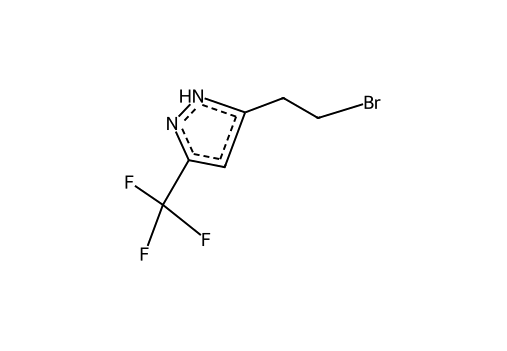 FC(F)(F)c1cc(CCBr)[nH]n1